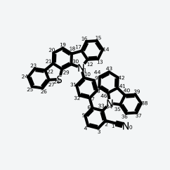 N#Cc1cccc(-c2ccc(-n3c4ccccc4c4ccc5c6ccccc6sc5c43)cc2)c1-n1c2ccccc2c2ccccc21